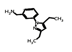 CCc1cc(CC)n(-c2cc[c]c(CN)c2)n1